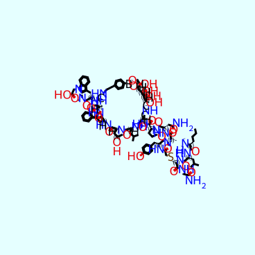 CCCC[C@@H](C(=O)N[C@@H](CC(C)C)C(=O)N[C@@H](CSCC(=O)N[C@@H](Cc1ccc(O)cc1)C(=O)N(C)[C@@H](C)C(=O)N[C@@H](CC(N)=O)C(=O)N1CCC[C@H]1C(=O)N[C@H]1CNC[C@@H](O)[C@@H](O)[C@H](O)[C@@H]2OB(OCC2O)c2ccc(cc2)CNCC[C@@H](C(=O)N[C@@H](Cc2cn(CC(=O)O)c3ccccc23)C(=O)N(C)C)NC(=O)[C@H](Cc2c[nH]c3ccccc23)NC(=O)[C@@H]2C[C@@H](O)CN2C(=O)[C@H](CC(C)C)NC1=O)C(=O)NCC(N)=O)N(C)C